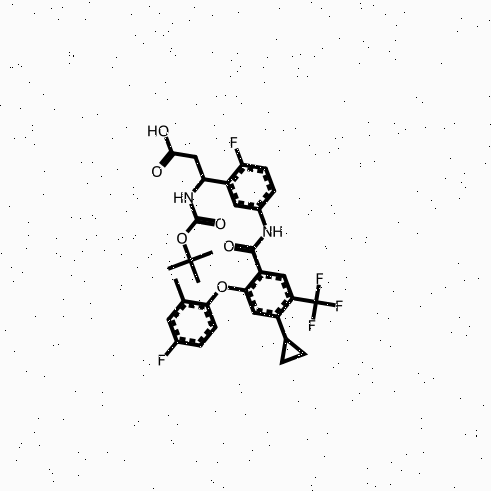 Cc1cc(F)ccc1Oc1cc(C2CC2)c(C(F)(F)F)cc1C(=O)Nc1ccc(F)c(C(CC(=O)O)NC(=O)OC(C)(C)C)c1